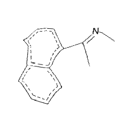 C/N=C(\C)c1cccc2ccccc12